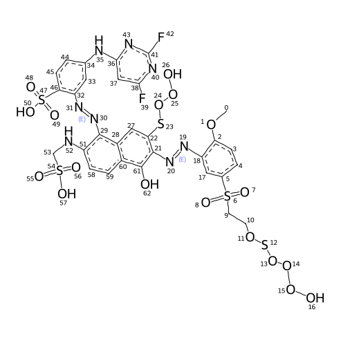 COc1ccc(S(=O)(=O)CCOSOOOO)cc1/N=N/c1c(SOOO)cc2c(/N=N/c3cc(Nc4cc(F)nc(F)n4)ccc3S(=O)(=O)O)c(NCS(=O)(=O)O)ccc2c1O